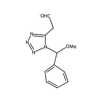 COC(c1ccccc1)n1nnnc1C[C]=O